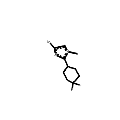 Cn1cc(Br)nc1C1CCC(F)(F)CC1